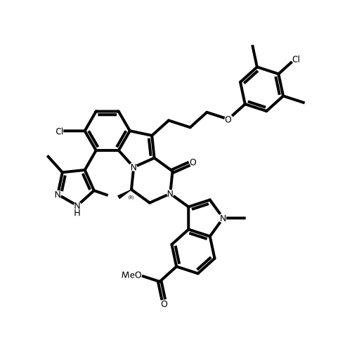 COC(=O)c1ccc2c(c1)c(N1C[C@@H](C)n3c(c(CCCOc4cc(C)c(Cl)c(C)c4)c4ccc(Cl)c(-c5c(C)n[nH]c5C)c43)C1=O)cn2C